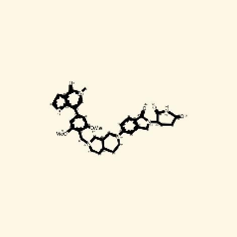 COc1cc(-c2cn(C)c(=O)c3ccsc23)cc(OC)c1CN1CCC2CCN(c3ccc4c(c3)CN(C3CCC(=O)NC3=O)C4=O)CC2C1